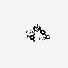 C=C1CSCN1c1ccc(-c2cnc3ccc(N(C)Cc4cc(F)cc(F)c4)nn23)cc1